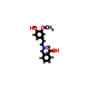 COc1cc(CC=NCc2ccccc2C(=O)O)ccc1O